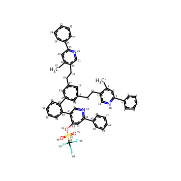 Cc1cc(-c2ccccc2)ncc1CCc1cc(CCc2cnc(-c3ccccc3)cc2C)cc(-c2ccccc2-c2cnc(-c3ccccc3)cc2OS(=O)(=O)C(F)(F)F)c1